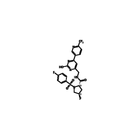 O=C(NCc1cc(-c2ccc(C(F)(F)F)nc2)nc(O)n1)[C@@H]1C[C@@H](F)CN1S(=O)(=O)c1ccc(F)cc1